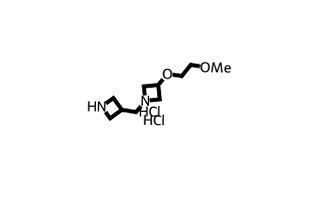 COCCOC1CN(CC2CNC2)C1.Cl.Cl